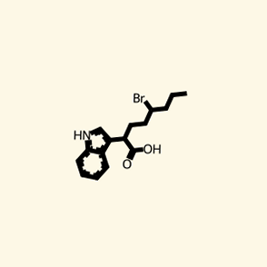 CCCC(Br)CCC(C(=O)O)c1c[nH]c2ccccc12